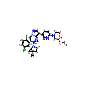 C[C@@H]1CN(c2ccc(-c3cnn4ccc(N5CC[C@H]6C[C@]65c5cc(F)ccc5F)nc34)cn2)CCO1